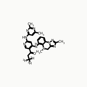 [2H]C([2H])([2H])CC(=O)c1cnc(Nc2cc(C)nc(C)n2)cc1Nc1cccc2c1N(C)Cc1nc(C)nn1-2